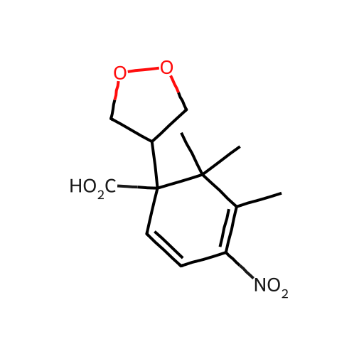 CC1=C([N+](=O)[O-])C=CC(C(=O)O)(C2COOC2)C1(C)C